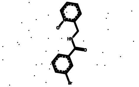 O=C(NCc1cccc[n+]1[O-])c1cccc(Br)c1